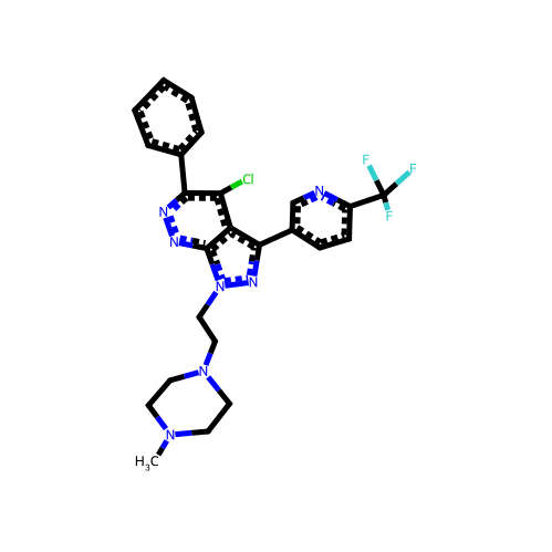 CN1CCN(CCn2nc(-c3ccc(C(F)(F)F)nc3)c3c(Cl)c(-c4ccccc4)nnc32)CC1